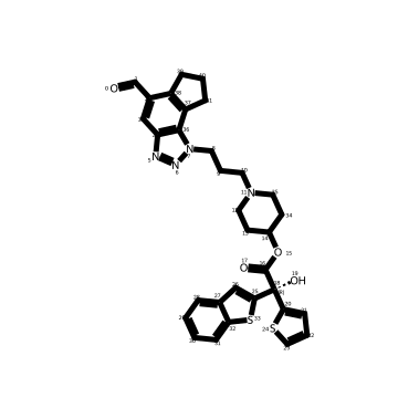 O=Cc1cc2nnn(CCCN3CCC(OC(=O)[C@@](O)(c4cccs4)c4cc5ccccc5s4)CC3)c2c2c1CCC2